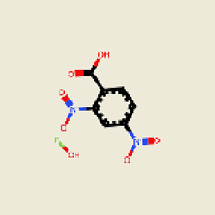 O=C(O)c1ccc([N+](=O)[O-])cc1[N+](=O)[O-].OF